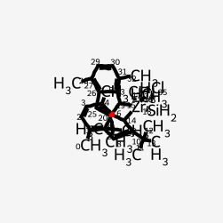 Cc1ccc(C)c2c1C=C(C(C)(C)C)[CH]2[Zr]([CH3])([CH3])(=[SiH2])[CH]1C(C(C)(C)C)=Cc2c(C)ccc(C)c21.Cl.Cl